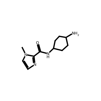 Cn1ccnc1C(=O)NC1CCC(N)CC1